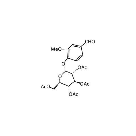 COc1cc(C=O)ccc1O[C@H]1O[C@H](COC(C)=O)[C@@H](OC(C)=O)[C@H](OC(C)=O)[C@H]1OC(C)=O